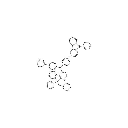 C1=CC2C3=C(C=CC(c4ccc(N(c5ccc(-c6ccccc6)cc5)c5ccc6c(c5)C(c5ccccc5)(c5ccccc5)Cc5ccccc5-6)cc4)C3)N(c3ccccc3)C2C=C1